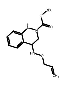 C=CCONC1CN(C(=O)OC(C)(C)C)Nc2ccccc21